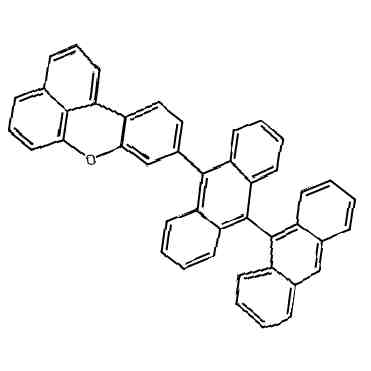 c1ccc2c(-c3c4ccccc4c(-c4ccc5c(c4)Oc4cccc6cccc-5c46)c4ccccc34)c3ccccc3cc2c1